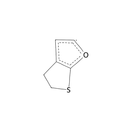 [c]1cc2c(o1)SCC2